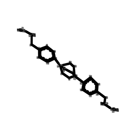 CCCCCCCCNCc1ccc([N+]23CC[N+](c4ccc(CNCCCCCCCC)cc4)(CC2)CC3)cc1